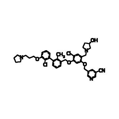 Cc1c(COc2cc(OCc3cncc(C#N)c3)c(CN3CC[C@@H](O)C3)cc2Cl)cccc1-c1cccc(OCCCN2CCCC2)c1Cl